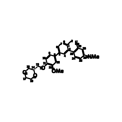 C=C(C)/C(=C\C(=C/C)c1ccc(OC[C@H]2COCCO2)c(OC)c1)c1ccc(NC)cc1F